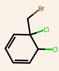 ClC1C=CC=CC1(Cl)CBr